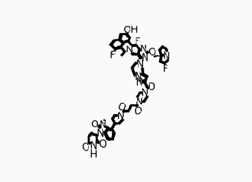 CCc1c(F)ccc2cc(O)cc(-c3ncc4c(N5CCCn6nc(C(=O)N7CCN(C(=O)CCC(=O)N8CCC(c9cccc%10c9n(C)c(=O)n%10C9CCC(=O)NC9=O)CC8)CC7)cc6C5)nc(OC[C@@]56CCCN5C[C@H](F)C6)nc4c3F)c12